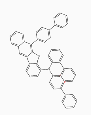 c1ccc(-c2ccc(-c3c4ccccc4cc4c3oc3c(N(c5ccc(-c6ccccc6)cc5)c5ccccc5-c5ccccc5)cccc34)cc2)cc1